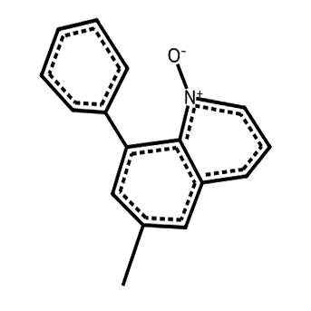 Cc1cc(-c2ccccc2)c2c(ccc[n+]2[O-])c1